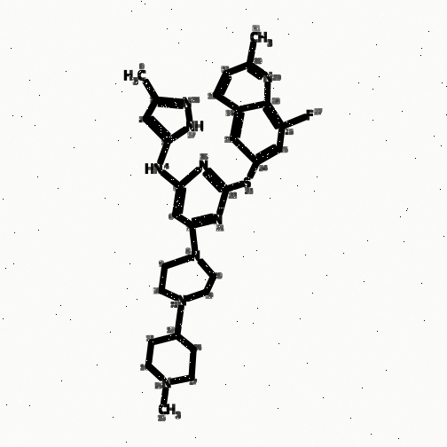 Cc1cc(Nc2cc(N3CCN(C4CCN(C)CC4)CC3)nc(Sc3cc(F)c4nc(C)ccc4c3)n2)[nH]n1